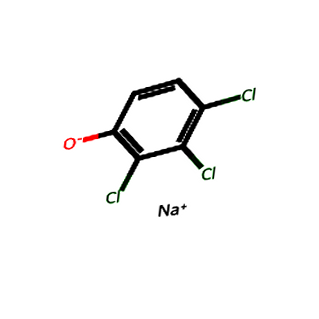 [Na+].[O-]c1ccc(Cl)c(Cl)c1Cl